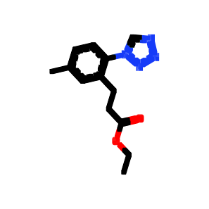 CCOC(=O)CCc1cc(C)ccc1-n1cnnn1